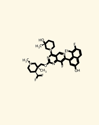 CCc1c(F)ccc2cc(O)cc(-c3ncc4c(N5CCC[C@@](C)(O)C5)nc(OC[C@]5(C)CN(C)CC[C@@H]5C(F)F)nc4c3F)c12